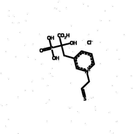 O=C(O)C(O)(Cc1ccc[n+](CC=S)c1)P(=O)(O)O.[Cl-]